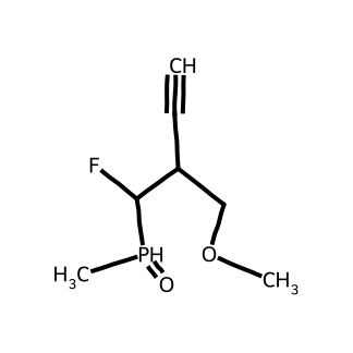 C#CC(COC)C(F)[PH](C)=O